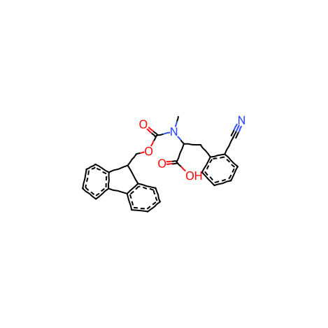 CN(C(=O)OCC1c2ccccc2-c2ccccc21)C(Cc1ccccc1C#N)C(=O)O